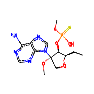 CC[C@H]1OC[C@@](OC)(n2cnc3c(N)ncnc32)[C@H]1OP(O)(=S)OC